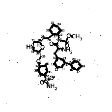 COC(=O)N(C(=O)[C@@H](N)Cc1cccc(-c2ccccc2)c1)c1ccccc1CC[C@@H]1CNC[C@@H](COc2ccc(S(N)(=O)=O)cc2)O1